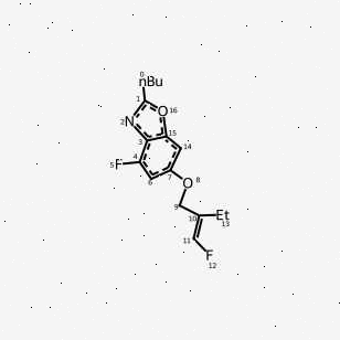 CCCCc1nc2c(F)cc(OC/C(=C/F)CC)cc2o1